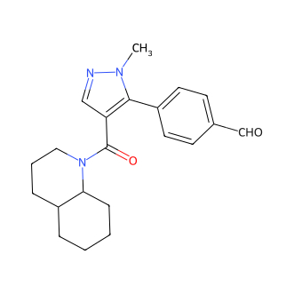 Cn1ncc(C(=O)N2CCCC3CCCCC32)c1-c1ccc(C=O)cc1